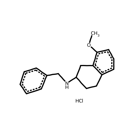 COc1cccc2c1CC(NCc1ccccc1)CC2.Cl